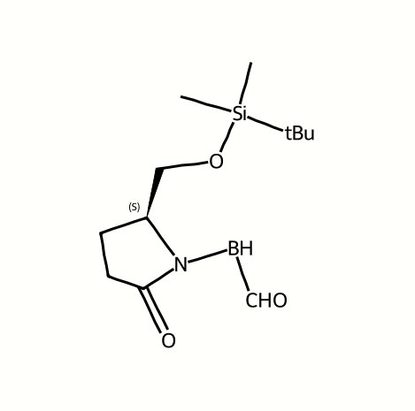 CC(C)(C)[Si](C)(C)OC[C@@H]1CCC(=O)N1BC=O